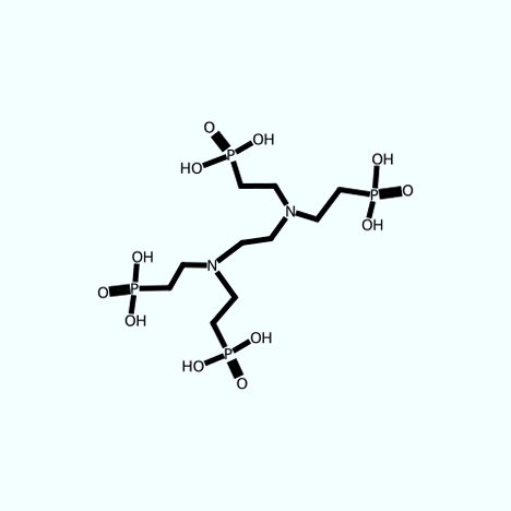 O=P(O)(O)CCN(CCN(CCP(=O)(O)O)CCP(=O)(O)O)CCP(=O)(O)O